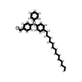 CCCCCCCCCCCCCCc1ccc(N(c2ccccc2)c2ccc(C=O)cc2)cc1